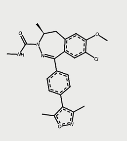 CNC(=O)N1N=C(c2ccc(-c3c(C)noc3C)cc2)c2cc(Cl)c(OC)cc2C[C@@H]1C